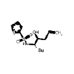 C=CCC(O)C(NS(=O)(=O)c1cccs1)[C@@H](C)CC